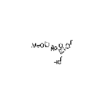 COc1ccc(Cn2cc(-c3nc(CCCO)cn(-c4ccc(F)cc4)c3=O)cn2)cc1